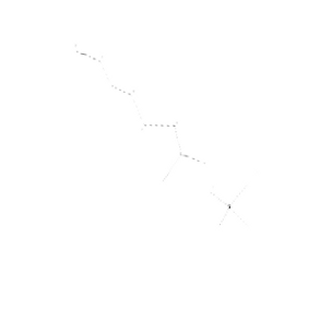 CCC(C)(C)CC.CCCCCCC(C)C